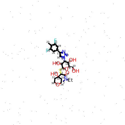 CCN(C)C(=O)C(S[C@@H]1O[C@H](CO)[C@H](O)[C@H](n2cc(-c3cc(F)c(C)c(F)c3)nn2)[C@H]1O)C1(O)CCOCC1